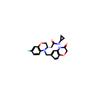 O=C1COc2ccc(CN3c4ccc(F)cc4OC[C@@H]3CC(=O)NC3CC3)cc2N1